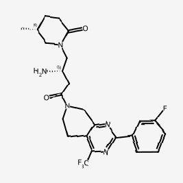 C[C@@H]1CCC(=O)N(C[C@@H](N)CC(=O)N2CCc3c(nc(-c4cccc(F)c4)nc3C(F)(F)F)C2)C1